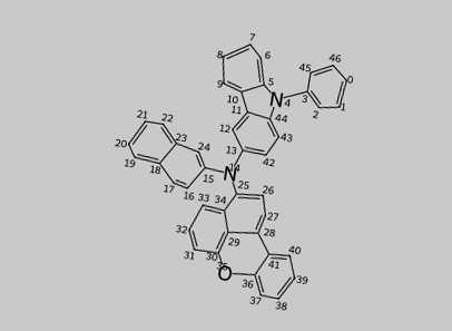 c1ccc(-n2c3ccccc3c3cc(N(c4ccc5ccccc5c4)c4ccc5c6c(cccc46)Oc4ccccc4-5)ccc32)cc1